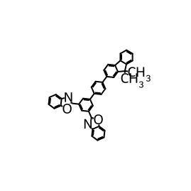 CC1(C)c2ccccc2-c2ccc(-c3ccc(-c4cc(-c5nc6ccccc6o5)cc(-c5nc6ccccc6o5)c4)cc3)cc21